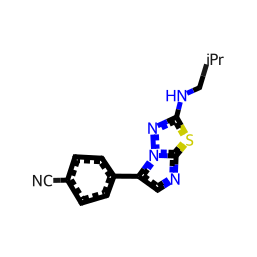 CC(C)CNc1nn2c(-c3ccc(C#N)cc3)cnc2s1